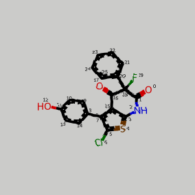 O=C1Nc2sc(Cl)c(-c3ccc(O)cc3)c2C(=O)C1(F)c1ccccc1